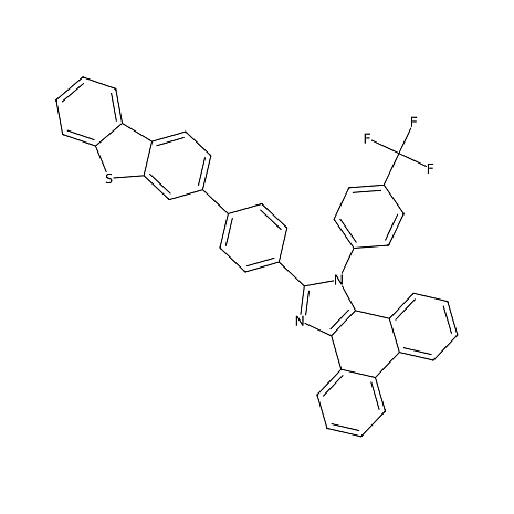 FC(F)(F)c1ccc(-n2c(-c3ccc(-c4ccc5c(c4)sc4ccccc45)cc3)nc3c4ccccc4c4ccccc4c32)cc1